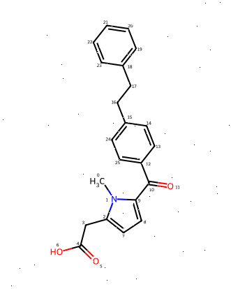 Cn1c(CC(=O)O)ccc1C(=O)c1ccc(CCc2ccccc2)cc1